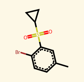 Cc1ccc(Br)c(S(=O)(=O)C2CC2)c1